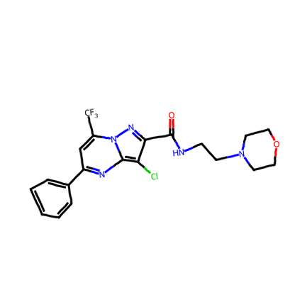 O=C(NCCN1CCOCC1)c1nn2c(C(F)(F)F)cc(-c3ccccc3)nc2c1Cl